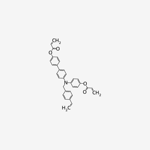 C=CC(=O)Oc1ccc(-c2ccc(N(Cc3ccc(C=C)cc3)c3ccc(OC(=O)C=C)cc3)cc2)cc1